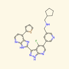 Fc1c(-c2cncc(CNCC3CCCC3)c2)cnc2[nH]nc(-c3nc4c(-c5cccs5)ccnc4[nH]3)c12